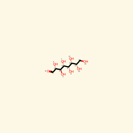 O=C[C@H](O)[C@H](O)[C@H](O)[C@@H](O)[C@H](O)[C@@H](O)CO